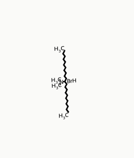 Br.CCCCCCCCCCCCC(CCCCCCCCCCCC)N(C)C